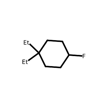 CCC1(CC)CCC(F)CC1